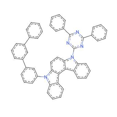 c1ccc(-c2cccc(-c3cccc(-n4c5ccccc5c5c6c7ccccc7n(-c7nc(-c8ccccc8)nc(-c8ccccc8)n7)c6ccc54)c3)c2)cc1